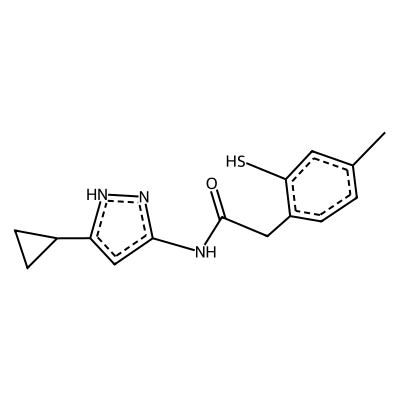 Cc1ccc(CC(=O)Nc2cc(C3CC3)[nH]n2)c(S)c1